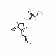 C=CC[C@@H]1O[C@@H](CCC(=O)OC)C[C@H]1O